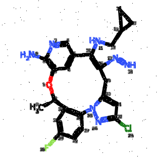 C[C@H]1Oc2cc(cnc2N)/C(NCC2CC2)=C(/N=N)Cc2cc(Cl)nn2-c2ccc(F)cc21